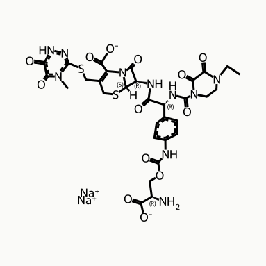 CCN1CCN(C(=O)N[C@@H](C(=O)N[C@@H]2C(=O)N3C(C(=O)[O-])=C(CSc4n[nH]c(=O)c(=O)n4C)CS[C@@H]23)c2ccc(NC(=O)OC[C@@H](N)C(=O)[O-])cc2)C(=O)C1=O.[Na+].[Na+]